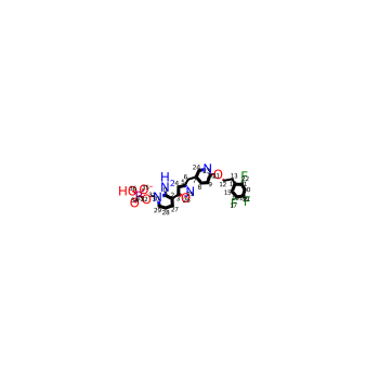 Nc1c(-c2cc(Cc3ccc(OCCc4cc(F)c(F)cc4F)nc3)no2)ccc[n+]1COP(=O)([O-])O